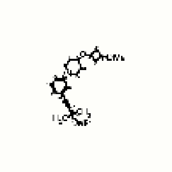 COC1CC(OC2CCN(c3cccc(C#CC(C)(C)OC(C)C)c3)CC2)C1